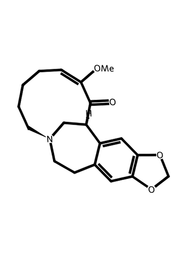 CO/C1=C/CCCC[N@]2CCc3cc4c(cc3[C@@H](C2)C1=O)OCO4